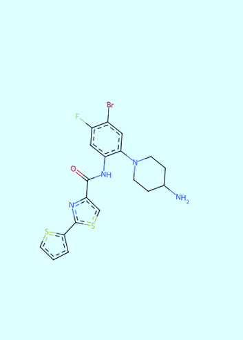 NC1CCN(c2cc(Br)c(F)cc2NC(=O)c2csc(-c3cccs3)n2)CC1